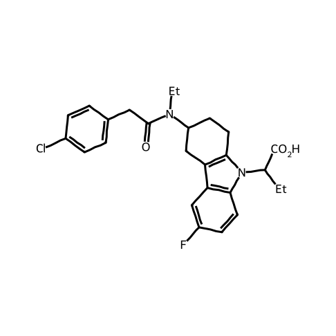 CCC(C(=O)O)n1c2c(c3cc(F)ccc31)CC(N(CC)C(=O)Cc1ccc(Cl)cc1)CC2